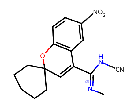 C/N=C(\NC#N)C1=CC2(CCCCC2)Oc2ccc([N+](=O)[O-])cc21